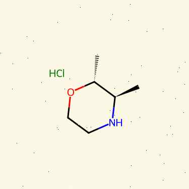 C[C@H]1NCCO[C@@H]1C.Cl